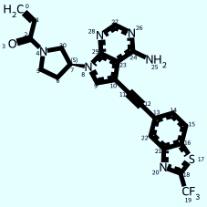 C=CC(=O)N1CC[C@H](n2cc(C#Cc3ccc4sc(C(F)(F)F)nc4c3)c3c(N)ncnc32)C1